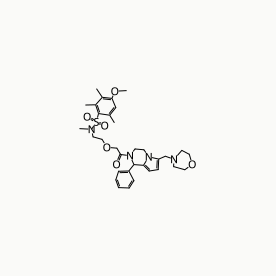 COc1cc(C)c(S(=O)(=O)N(C)CCOCC(=O)N2CCn3c(CN4CCOCC4)ccc3C2c2ccccc2)c(C)c1C